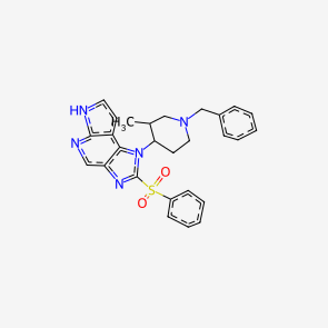 CC1CN(Cc2ccccc2)CCC1n1c(S(=O)(=O)c2ccccc2)nc2cnc3[nH]ccc3c21